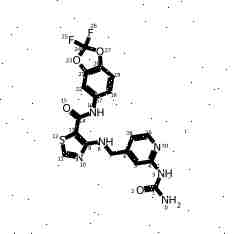 NC(=O)Nc1cc(CNc2ncsc2C(=O)Nc2ccc3c(c2)OC(F)(F)O3)ccn1